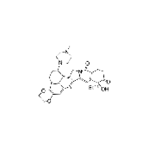 CC[C@@]1(O)C(=O)CCc2c1cc1n(c2=O)Cc2c-1nc1cc3c(c4c1c2C(N1CCN(C)CC1)CC4)OCCO3